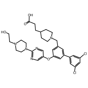 O=C(O)CCC1CCN(Cc2cc(Oc3cnc(N4CCN(CCO)CC4)nc3)cc(-c3cc(Cl)cc(Cl)c3)c2)CC1